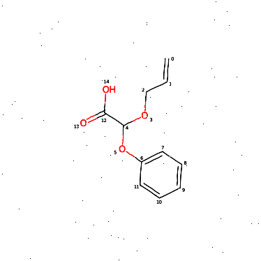 C=CCOC(Oc1ccccc1)C(=O)O